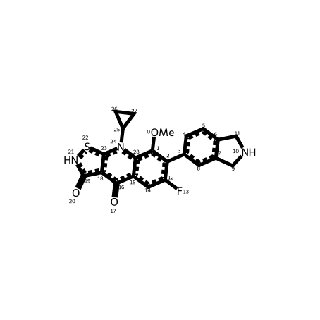 COc1c(-c2ccc3c(c2)CNC3)c(F)cc2c(=O)c3c(=O)[nH]sc3n(C3CC3)c12